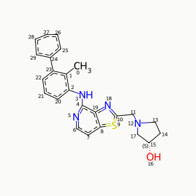 Cc1c(Nc2nccc3sc(CN4CC[C@H](O)C4)nc23)cccc1-c1ccccc1